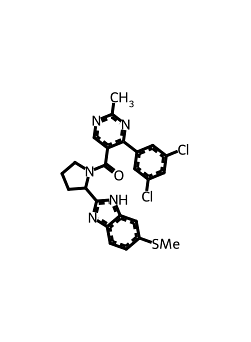 CSc1ccc2nc(C3CCCN3C(=O)c3cnc(C)nc3-c3cc(Cl)cc(Cl)c3)[nH]c2c1